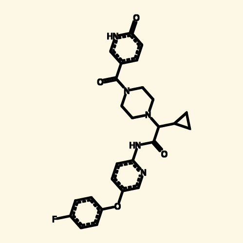 O=C(Nc1ccc(Oc2ccc(F)cc2)cn1)C(C1CC1)N1CCN(C(=O)c2ccc(=O)[nH]c2)CC1